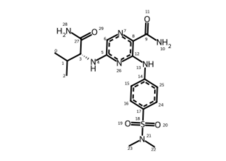 CC(C)[C@@H](Nc1cnc(C(N)=O)c(Nc2ccc(S(=O)(=O)N(C)C)cc2)n1)C(N)=O